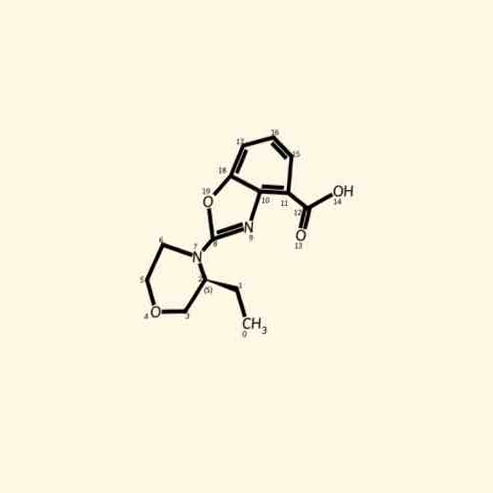 CC[C@H]1COCCN1c1nc2c(C(=O)O)cccc2o1